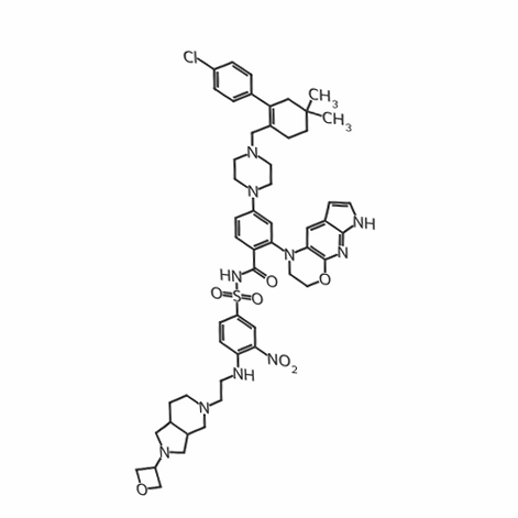 CC1(C)CCC(CN2CCN(c3ccc(C(=O)NS(=O)(=O)c4ccc(NCCN5CCC6CN(C7COC7)CC6C5)c([N+](=O)[O-])c4)c(N4CCOc5nc6[nH]ccc6cc54)c3)CC2)=C(c2ccc(Cl)cc2)C1